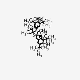 CCC(Cc1cc(C(C)(C)C)c(O)c(C(C)(C)C)c1)(SC(CC)(Cc1cc(C(C)(C)C)c(O)c(C(C)(C)C)c1)C(=O)O)C(=O)O